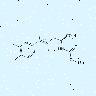 C/C(C[C@H](NC(=O)OC(C)(C)C)C(=O)O)=C(/C)c1ccc(C)c(C)c1